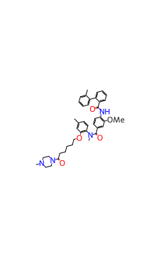 COc1cc(C(=O)N(C)c2ccc(C)cc2OCCCCCC(=O)N2CCN(C)CC2)ccc1NC(=O)c1ccccc1-c1ccccc1C